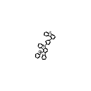 O=P1(c2ccccc2)c2ccccc2-c2ccc3c(c21)c1ccccc1n3-c1ccc(-c2cccc3sc4ccccc4c23)cc1